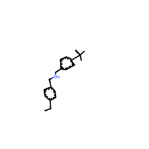 CCc1ccc(CNCc2ccc(C(C)(C)C)cc2)cc1